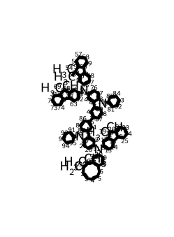 C=C1/C=C\C=C/Cc2ccc(N(c3ccc4c(c3)C(C)(C)c3ccccc3-4)c3ccc4c(c3)c3cc(-c5ccc6c(c5)c5cc(N(c7ccc8c(c7)C(C)(C)c7ccccc7-8)c7ccc8c(c7)C(C)(C)c7ccccc7-8)ccc5n6-c5ccccc5)ccc3n4-c3ccccc3)cc2C1(C)C